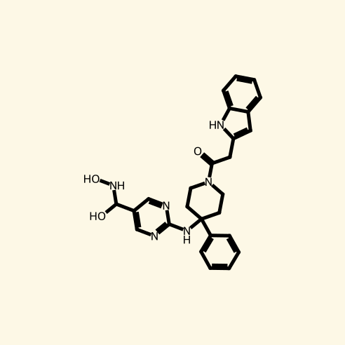 O=C(Cc1cc2ccccc2[nH]1)N1CCC(Nc2ncc(C(O)NO)cn2)(c2ccccc2)CC1